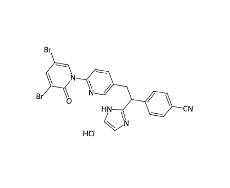 Cl.N#Cc1ccc(C(Cc2ccc(-n3cc(Br)cc(Br)c3=O)nc2)c2ncc[nH]2)cc1